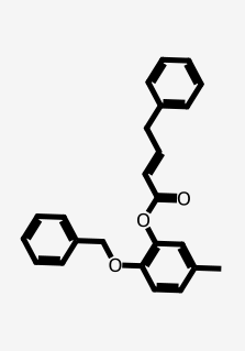 Cc1ccc(OCc2ccccc2)c(OC(=O)C=CCc2ccccc2)c1